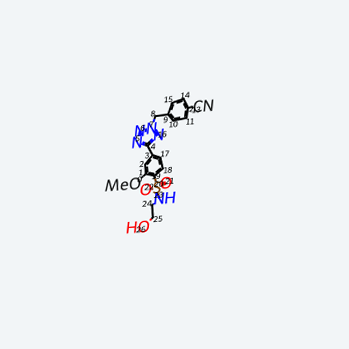 COc1cc(-c2nnn(Cc3ccc(C#N)cc3)n2)ccc1S(=O)(=O)NCCO